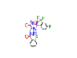 CNC(=O)C(CNC(=O)c1ccccc1F)NC(=O)c1ccc(F)cc1C(F)(F)F